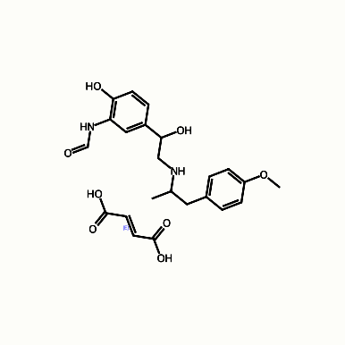 COc1ccc(CC(C)NCC(O)c2ccc(O)c(NC=O)c2)cc1.O=C(O)/C=C/C(=O)O